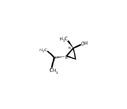 CC(C)[C@H]1C[C@@]1(C)O